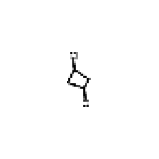 [O]C1CC(Cl)C1